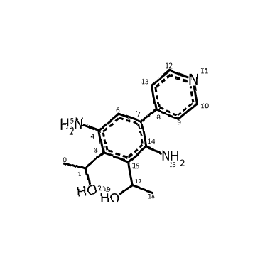 CC(O)c1c(N)cc(-c2ccncc2)c(N)c1C(C)O